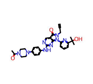 C#CCn1c(=O)c2cnc(Nc3ccc(N4CCN(C(C)=O)CC4)cc3)nc2n1-c1cccc(C(C)(C)O)n1